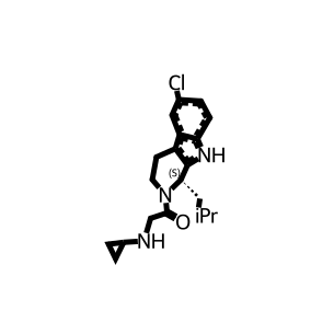 CC(C)C[C@H]1c2[nH]c3ccc(Cl)cc3c2CCN1C(=O)CNC1CC1